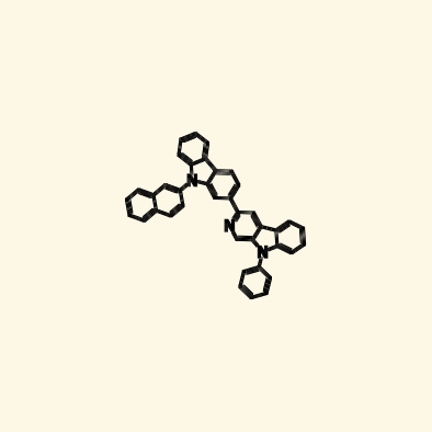 c1ccc(-n2c3ccccc3c3cc(-c4ccc5c6ccccc6n(-c6ccc7ccccc7c6)c5c4)ncc32)cc1